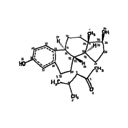 CC(=O)CC(C)C.C[C@]12CC[C@@H]3c4ccc(O)cc4CC[C@H]3[C@@H]1CC[C@@H]2O